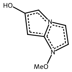 COn1ccn2cc(O)cc12